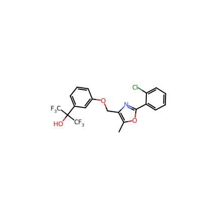 Cc1oc(-c2ccccc2Cl)nc1COc1cccc(C(O)(C(F)(F)F)C(F)(F)F)c1